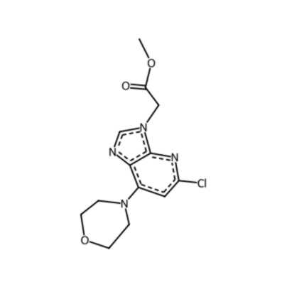 COC(=O)Cn1cnc2c(N3CCOCC3)cc(Cl)nc21